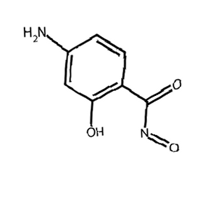 Nc1ccc(C(=O)N=O)c(O)c1